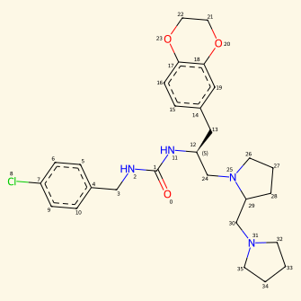 O=C(NCc1ccc(Cl)cc1)N[C@@H](Cc1ccc2c(c1)OCCO2)CN1CCCC1CN1CCCC1